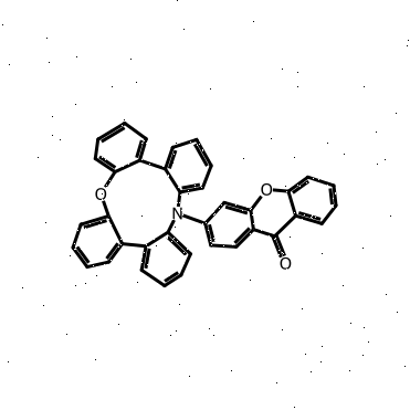 O=c1c2ccccc2oc2cc(N3c4ccccc4-c4ccccc4Oc4ccccc4-c4ccccc43)ccc12